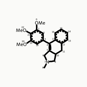 COc1cc(C2=C3CN(C)CC3Cc3ccccc32)cc(OC)c1OC